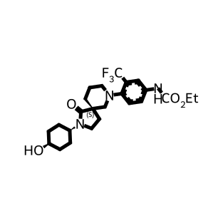 CCOC(=O)Nc1ccc(N2CCC[C@]3(CCN([C@H]4CC[C@H](O)CC4)C3=O)C2)c(C(F)(F)F)c1